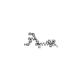 CCOC(C)(C)C(=O)NCCCCCCNC(=O)OCCN(CCOC(C)CC)CCC(=O)OCCO